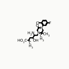 C[C@H](C[C@H](O)[C@@H](N)CN1CC(=O)N(c2cc(F)ccc2Cl)CC1(C)C)C(=O)O